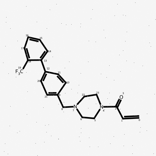 C=CC(=O)N1CCN(Cc2ccc(-c3ccccc3C(F)(F)F)cc2)CC1